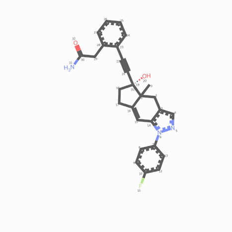 CC12Cc3cnn(-c4ccc(F)cc4)c3C=C1CC[C@@]2(O)C#Cc1ccccc1CC(N)=O